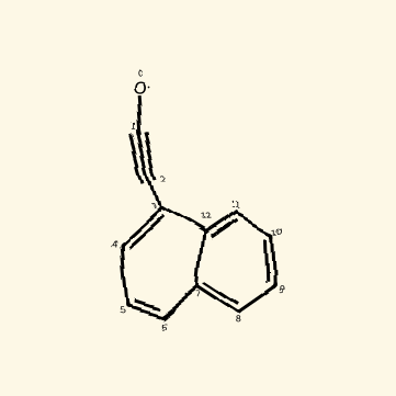 [O]C#Cc1cccc2ccccc12